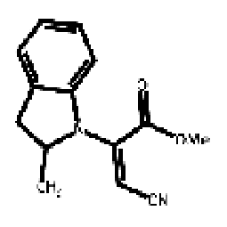 COC(=O)C(=CC#N)N1c2ccccc2CC1C